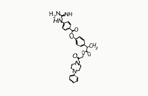 CC(C(=O)OCC(=O)N1CCN(c2ccccc2)CC1)c1ccc(OC(=O)c2ccc(NC(=N)N)cc2)cc1